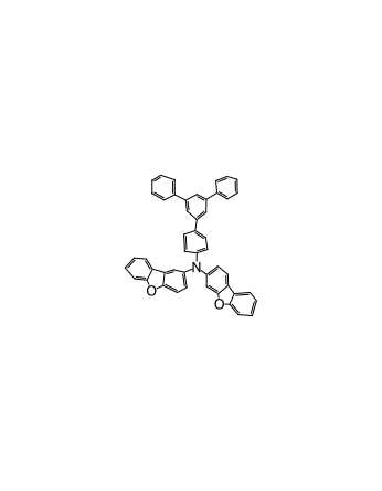 c1ccc(-c2cc(-c3ccccc3)cc(-c3ccc(N(c4ccc5c(c4)oc4ccccc45)c4ccc5oc6ccccc6c5c4)cc3)c2)cc1